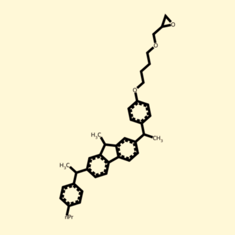 CCCc1ccc(C(C)c2ccc3c(c2)C(C)c2cc(C(C)c4ccc(OCCCCOCC5CO5)cc4)ccc2-3)cc1